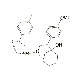 COc1ccc(C(CN(C)C)C2(O)CCCCC2)cc1.Cc1ccc(C23CNCC2C3)cc1